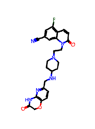 N#Cc1cc(F)c2ccc(=O)n(CCN3CCC(NCc4ccc5c(n4)NC(=O)CO5)CC3)c2c1